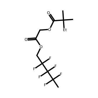 CCC(C)(C)C(=O)OCC(=O)OCC(F)(F)C(F)(F)C(C)(F)F